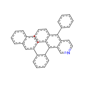 c1ccc(-c2c3ccccc3c(-c3ccccc3-c3ccc4ccccc4c3)c3cnccc23)cc1